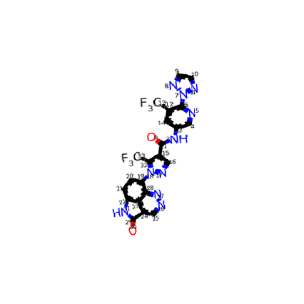 O=C(Nc1cnc(-n2nccn2)c(C(F)(F)F)c1)c1cnn(-c2ccc3c4c(cnnc24)C(=O)N3)c1C(F)(F)F